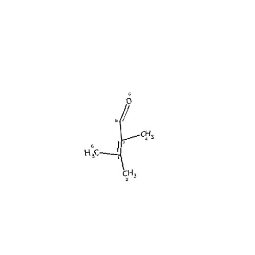 CC(C)=C(C)[C]=O